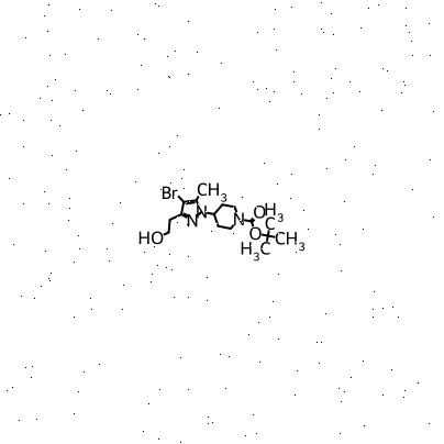 Cc1c(Br)c(CCO)nn1C1CCN(C(=O)OC(C)(C)C)CC1